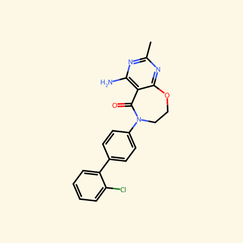 Cc1nc(N)c2c(n1)OCCN(c1ccc(-c3ccccc3Cl)cc1)C2=O